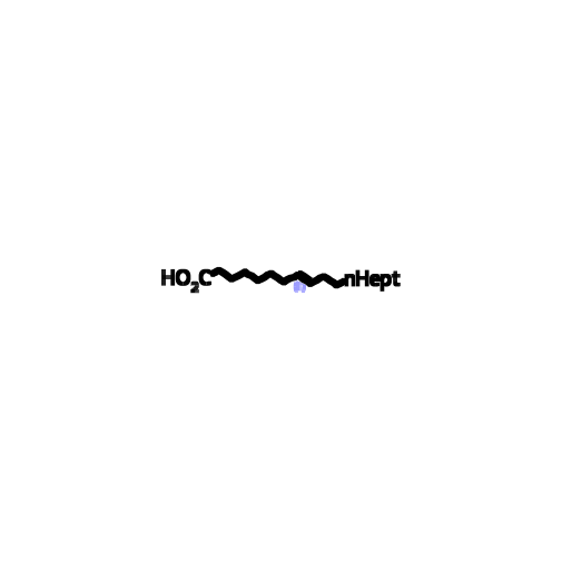 CCCCCCCCC/C=C/CCCCCCC(=O)O